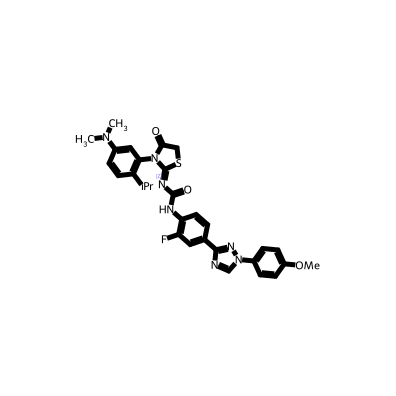 COc1ccc(-n2cnc(-c3ccc(NC(=O)/N=C4\SCC(=O)N4c4cc(N(C)C)ccc4C(C)C)c(F)c3)n2)cc1